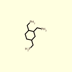 PCC1CCC(CP)C(CP)C1